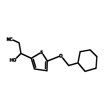 N#CCC(O)c1ccc(OCC2CCCCC2)s1